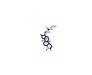 CCCCCCCCNC(=O)NCC1C(C)C[C@H]2[C@@H]3CCC4N(C)C(=O)CC[C@]4(C)[C@@H]3CC[C@]12C